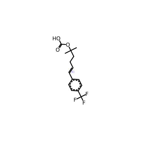 CC(C)(CC/C=C/c1ccc(C(F)(F)F)cc1)OC(=O)O